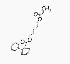 C=CC(=O)OCCCCCOC(=O)c1ccccc1-c1ccccc1